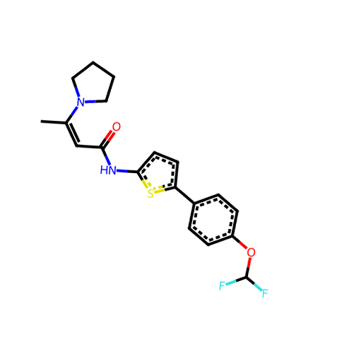 CC(=CC(=O)Nc1ccc(-c2ccc(OC(F)F)cc2)s1)N1CCCC1